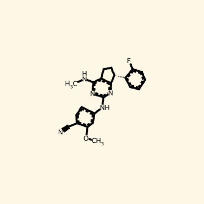 CNc1nc(Nc2ccc(C#N)c(OC)c2)nc2c1CC[C@@H]2c1ccccc1F